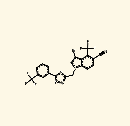 N#Cc1ccc2c(c(Br)cn2Cc2noc(-c3cccc(C(F)(F)F)c3)n2)c1C(F)(F)F